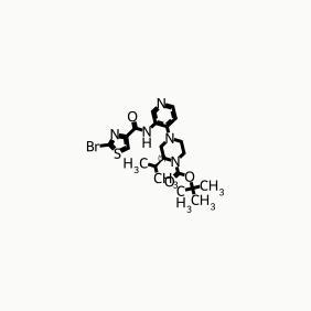 CC(C)[C@H]1CN(c2ccncc2NC(=O)c2csc(Br)n2)CCN1C(=O)OC(C)(C)C